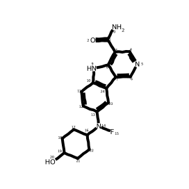 NC(=O)c1cncc2c1[nH]c1ccc(N(F)C3CCC(O)CC3)cc12